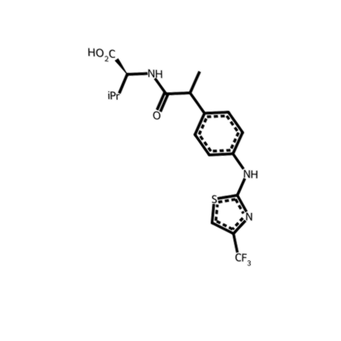 CC(C(=O)N[C@H](C(=O)O)C(C)C)c1ccc(Nc2nc(C(F)(F)F)cs2)cc1